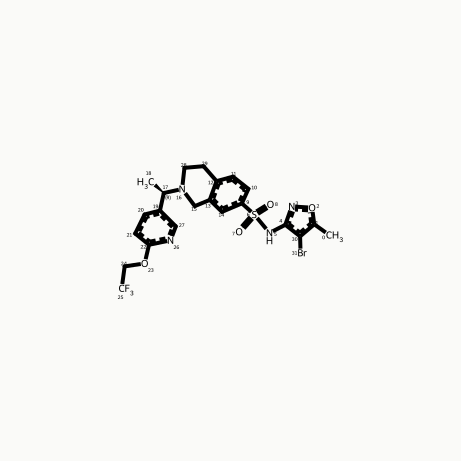 Cc1onc(NS(=O)(=O)c2ccc3c(c2)CN([C@H](C)c2ccc(OCC(F)(F)F)nc2)CC3)c1Br